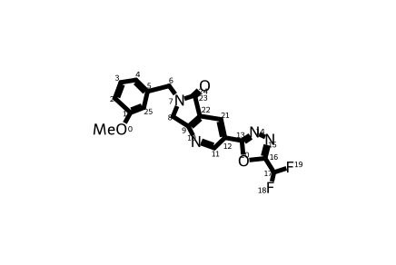 COc1cccc(CN2Cc3ncc(-c4nnc(C(F)F)o4)cc3C2=O)c1